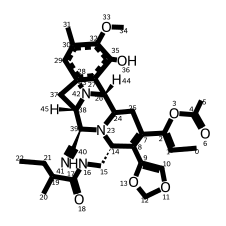 C/C=C(\OC(C)=O)C1=C(C2=COCO2)[C@H](CNC(=O)C(C)CC)N2C(C1)[C@H]1c3c(cc(C)c(OC)c3O)C[C@@H]([C@@H]2C#N)N1C